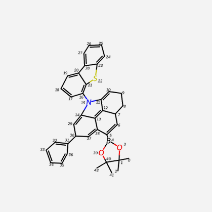 CC1(C)OB(C2=CC3CCC=c4c3c3c(n4-c4cccc5c4sc4ccccc45)=CC(c4ccccc4)C=C23)OC1(C)C